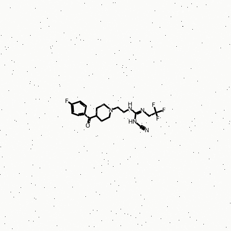 N#CN/C(=N\CC(F)(F)F)NCCN1CCC(C(=O)c2ccc(F)cc2)CC1